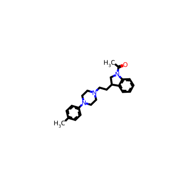 CC(=O)N1CC(CCN2CCN(c3ccc(C)cc3)CC2)c2ccccc21